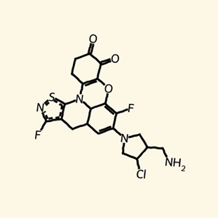 NCC1CN(C2=CC3Cc4c(F)nsc4N4C5=C(OC(=C2F)C34)C(=O)C(=O)CC5)CC1Cl